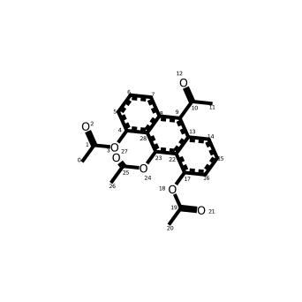 CC(=O)Oc1cccc2c(C(C)=O)c3cccc(OC(C)=O)c3c(OC(C)=O)c12